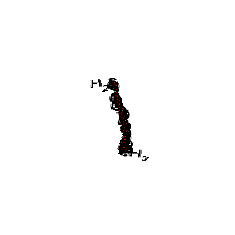 C=CC(=O)OCCCCCCOc1ccc(OC(=O)[C@H]2CC[C@H](C(=O)Oc3ccc(OC(=O)[C@H]4CC[C@H](C(=O)Oc5ccc(OCCCCCCOC(=O)CCOC(=O)C=C)cc5)CC4)c(C=O)c3)CC2)cc1